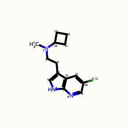 CN(CCc1c[nH]c2ncc(F)cc12)C1CCC1